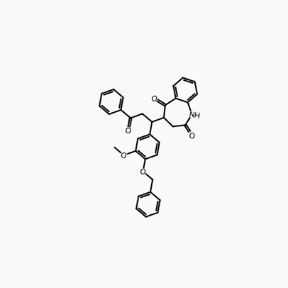 COc1cc(C(CC(=O)c2ccccc2)C2CC(=O)Nc3ccccc3C2=O)ccc1OCc1ccccc1